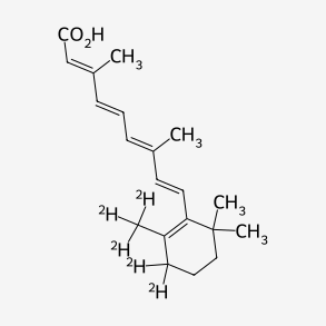 [2H]C([2H])([2H])C1=C(/C=C/C(C)=C/C=C/C(C)=C/C(=O)O)C(C)(C)CCC1([2H])[2H]